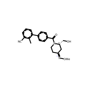 CO/N=C1/CCN(C(=O)c2ccc(-c3cccc(C#N)c3C)cc2)[C@H](CO)C1